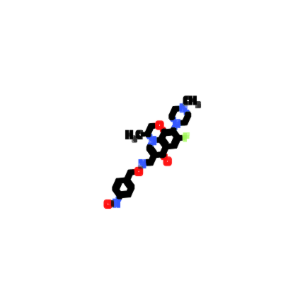 C[C@H]1COc2c(N3CCN(C)CC3)c(F)cc3c(=O)c(/C=N/OCc4ccc(N=O)cc4)cn1c23